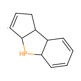 [C]1=CCC2C1PC1C=CC=CC12